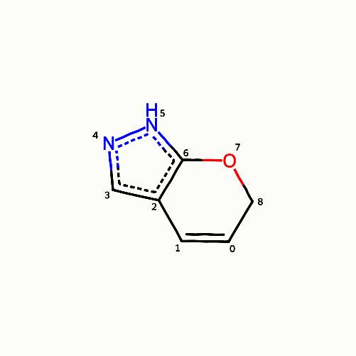 C1=Cc2cn[nH]c2OC1